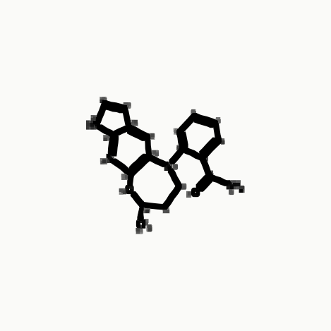 NC(=O)c1ccccc1N1CC[C@@H](C(F)(F)F)Oc2nc3[nH]ccc3cc21